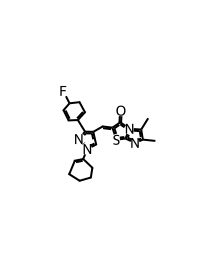 Cc1nc2s/c(=C\c3cn(C4=CCCCC4)nc3C3=CCC(F)C=C3)c(=O)n2c1C